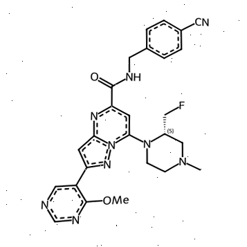 COc1ncncc1-c1cc2nc(C(=O)NCc3ccc(C#N)cc3)cc(N3CCN(C)C[C@H]3CF)n2n1